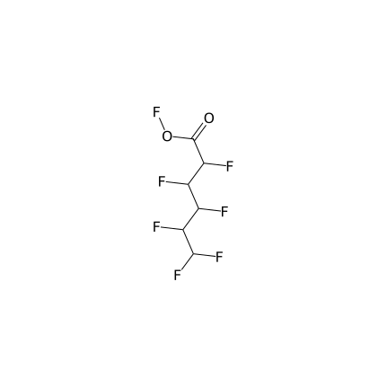 O=C(OF)C(F)C(F)C(F)C(F)C(F)F